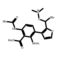 COC(=O)c1c(NC(=O)C(C)(C)C)ccc(-c2ccoc2C(O[SiH](C)C)C(C)(C)C)c1NC(C)=O